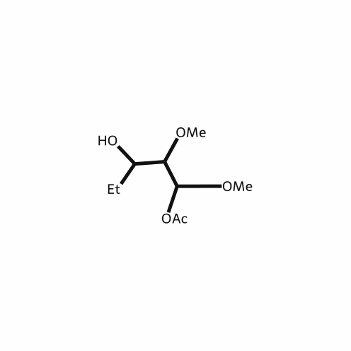 CCC(O)C(OC)C(OC)OC(C)=O